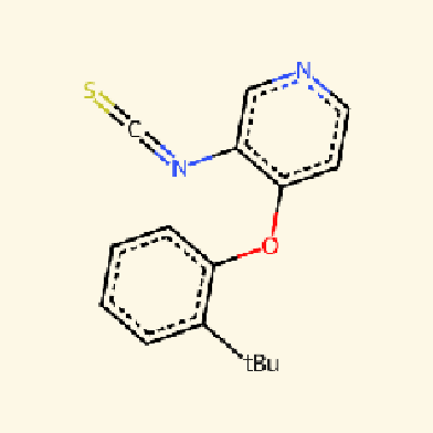 CC(C)(C)c1ccccc1Oc1ccncc1N=C=S